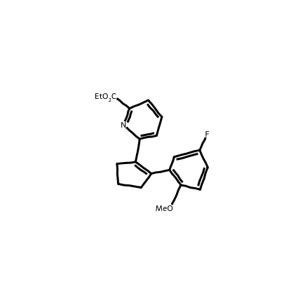 CCOC(=O)c1cccc(C2=C(c3cc(F)ccc3OC)CCC2)n1